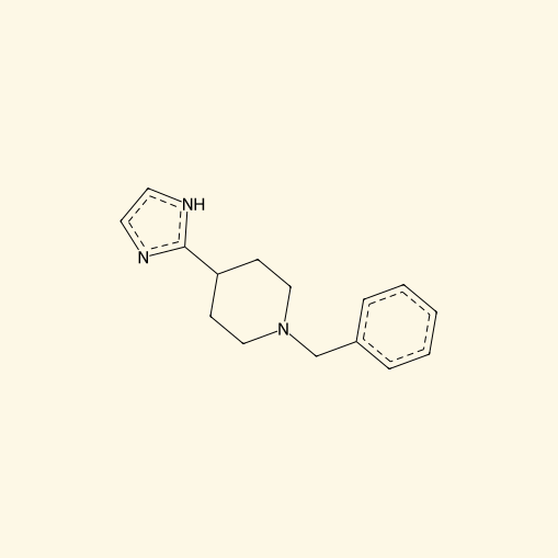 c1ccc(CN2CCC(c3ncc[nH]3)CC2)cc1